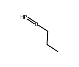 CCCB=P